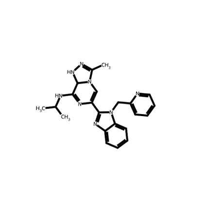 CC1=NNC2C(NC(C)C)=NC(c3nc4ccccc4n3Cc3ccccn3)=CN12